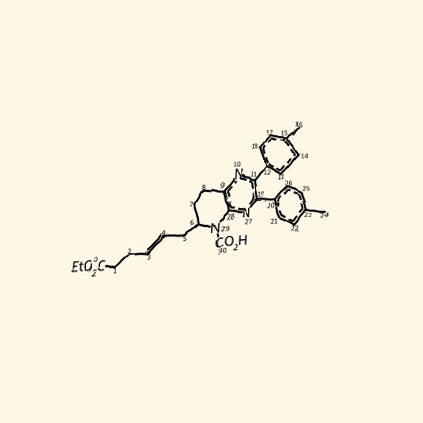 CCOC(=O)CCC=CCC1CCc2nc(-c3ccc(C)cc3)c(-c3ccc(C)cc3)nc2N1C(=O)O